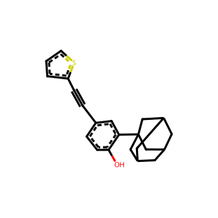 Oc1ccc(C#Cc2cccs2)cc1C12CC3CC(CC(C3)C1)C2